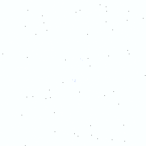 CCC(=O)NS(=O)(=O)N(C)C